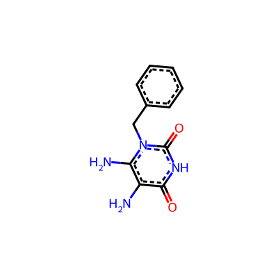 Nc1c(N)n(Cc2ccccc2)c(=O)[nH]c1=O